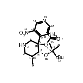 C[C@H]1CNC[C@](OC(N)=O)(c2ccncc2[N+](=O)[O-])[C@@H]1O[Si](C)(C)C(C)(C)C